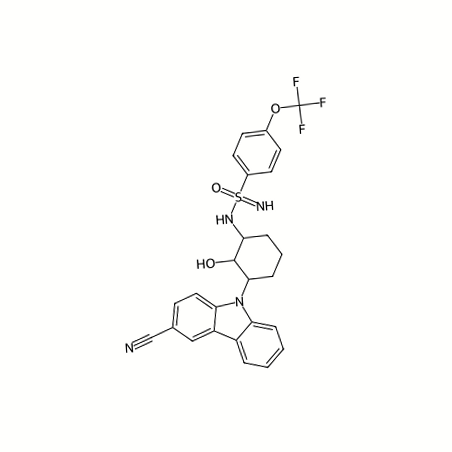 N#Cc1ccc2c(c1)c1ccccc1n2C1CCCC(NS(=N)(=O)c2ccc(OC(F)(F)F)cc2)C1O